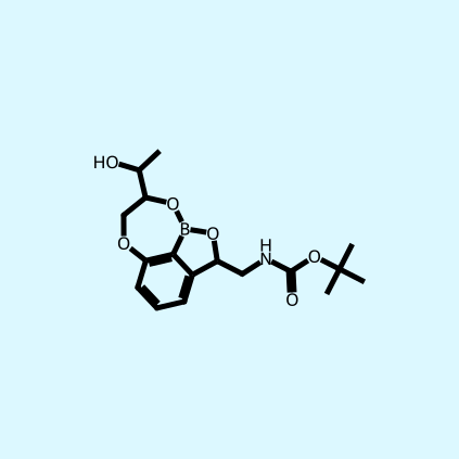 CC(O)C1COc2cccc3c2B(OC3CNC(=O)OC(C)(C)C)O1